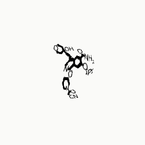 CC(C)Oc1cc2c(O[C@@H]3CCCN(C(=O)CC#N)C3)ncc(C#CC3(O)CCOCC3)c2cc1C(N)=O